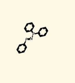 c1ccc(P=NP(c2ccccc2)c2ccccc2)cc1